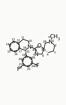 CN1CCC[C@@]2(CN=C(N3CCc4ccccc4[C@@H]3c3cc(F)cc(F)c3)O2)C1